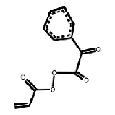 C=CC(=O)OOC(=O)C(=O)c1ccccc1